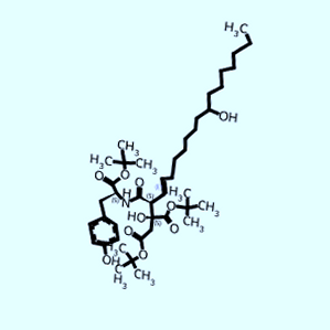 CCCCCCCC(O)CCCCCC/C=C/[C@H](C(=O)N[C@@H](Cc1ccc(O)cc1)C(=O)OC(C)(C)C)[C@@](O)(CC(=O)OC(C)(C)C)C(=O)OC(C)(C)C